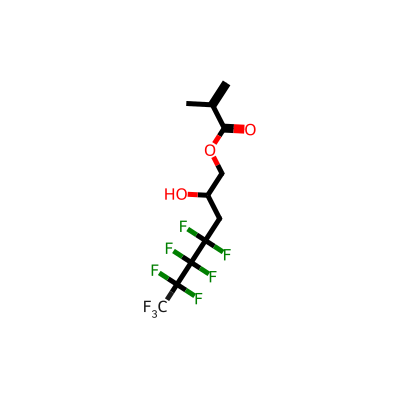 C=C(C)C(=O)OCC(O)CC(F)(F)C(F)(F)C(F)(F)C(F)(F)F